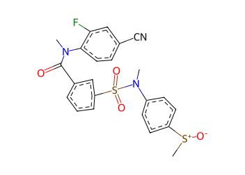 CN(C(=O)c1cccc(S(=O)(=O)N(C)c2ccc([S+](C)[O-])cc2)c1)c1ccc(C#N)cc1F